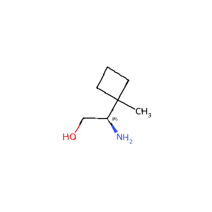 CC1([C@@H](N)CO)CCC1